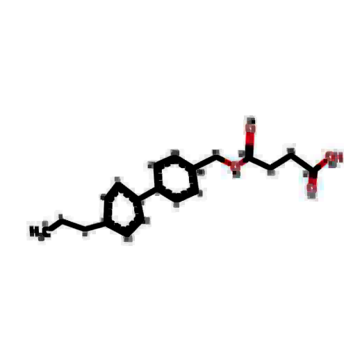 CCCc1ccc(-c2ccc(COC(=O)CCC(=O)O)cc2)cc1